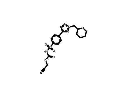 N#CCOC(=O)NS(=O)(=O)c1ccc(-c2nnn(CC3CCCCO3)n2)cc1